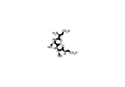 N[C@@H](CC(=O)O)C(=O)N[C@@H](CO)C(=O)N[C@@H](CO)C(=O)NCC(=O)O